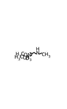 CCCNCCC1CN(C(=O)OC(C)(C)C)C1